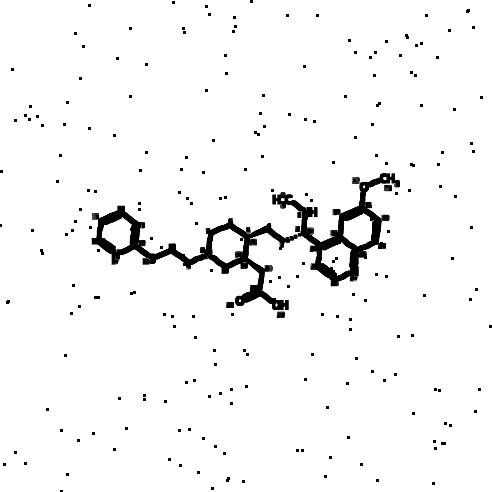 CN[C@@H](CC[C@@H]1CCN(CCSc2ccccn2)C[C@@H]1CC(=O)O)c1ccnc2ccc(OC)cc12